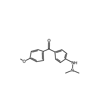 COc1ccc(C(=O)c2ccc(NN(C)C)cc2)cc1